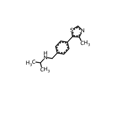 Cc1ncsc1-c1ccc(CNC(C)C)cc1